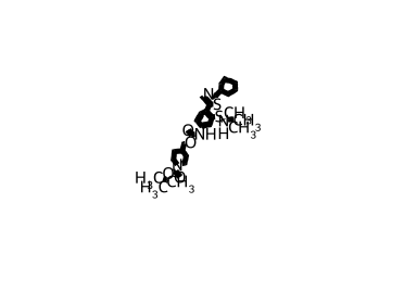 CC(C)(C)NSc1cc(NC(=O)OCC2CCN(C(=O)OC(C)(C)C)CC2)ccc1-c1cnc(C2CCCCC2)s1